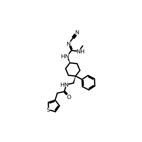 CN/C(=N\C#N)N[C@H]1CC[C@](CNC(=O)Cc2ccsc2)(c2ccccc2)CC1